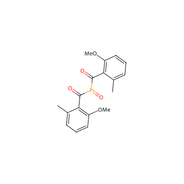 COc1cccc(C)c1C(=O)[P](=O)C(=O)c1c(C)cccc1OC